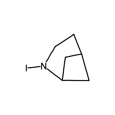 IN1CCC2CC1C2